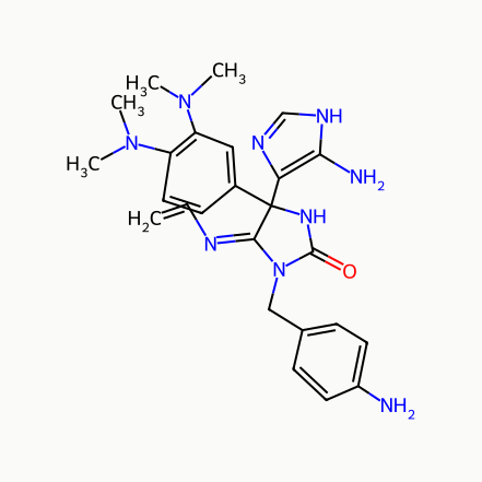 C=C/N=C1/N(Cc2ccc(N)cc2)C(=O)NC1(c1ccc(N(C)C)c(N(C)C)c1)c1nc[nH]c1N